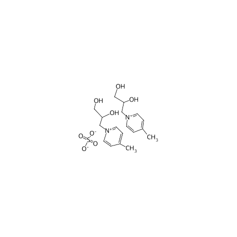 Cc1cc[n+](CC(O)CO)cc1.Cc1cc[n+](CC(O)CO)cc1.O=S(=O)([O-])[O-]